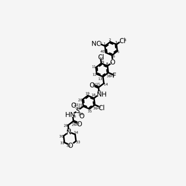 N#Cc1cc(Cl)cc(Oc2c(Cl)ccc(CC(=O)Nc3ccc(S(=O)(=O)NC(=O)CN4CCOCC4)cc3Cl)c2F)c1